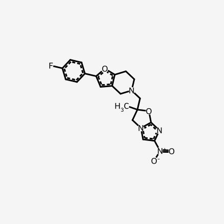 CC1(CN2CCc3oc(-c4ccc(F)cc4)cc3C2)Cn2cc([N+](=O)[O-])nc2O1